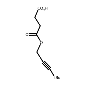 CC(C)(C)C#CCOC(=O)CCC(=O)O